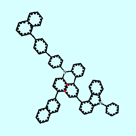 c1ccc(-n2c3ccccc3c3c(-c4cccc(-c5ccccc5N(c5ccc(-c6ccc(-c7cccc8ccccc78)cc6)cc5)c5ccc(-c6ccc7ccccc7c6)cc5)c4)cccc32)cc1